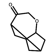 O=C1COC2CC3CC2CC13